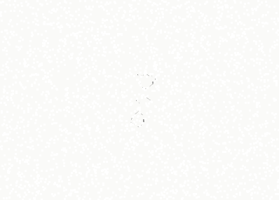 Cc1ncc(C(=O)Nc2ccc(F)cc2)c(C)n1